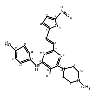 CN1CCN(c2nc(/C=C/c3ccc(N=O)o3)nc(Nc3ccc(O)cc3)c2F)CC1